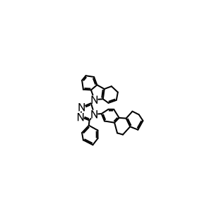 C1=CC2=C(CC1)c1ccc(-n3c(-c4ccccc4)nnc3-n3c4c(c5ccccc53)CCC=C4)cc1CC2